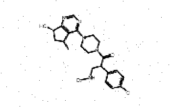 CCNCC(C(=O)N1CCN(c2ncnc3c2C(C)C[C@H]3O)CC1)c1ccc(Cl)cc1